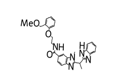 COCc1ccccc1OCCNC(=O)c1ccc2nc(C(C)c3nc4ccccc4[nH]3)n(C)c2c1